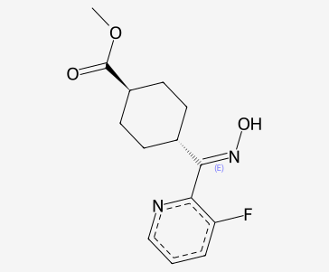 COC(=O)[C@H]1CC[C@H](/C(=N\O)c2ncccc2F)CC1